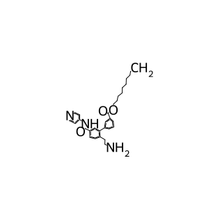 C=CCCCCCCCCOC(=O)c1cccc(-c2cc(C(=O)Nc3ccncc3)ccc2CCN)c1